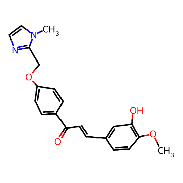 COc1ccc(C=CC(=O)c2ccc(OCc3nccn3C)cc2)cc1O